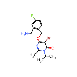 Cc1nc(OCc2ccc(F)cc2CN)c(Br)c(=O)n1C(C)C